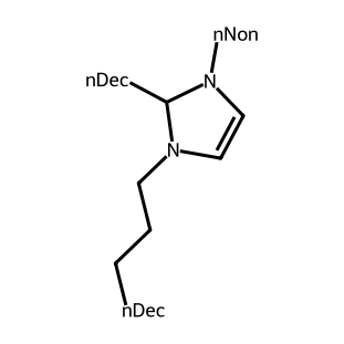 CCCCCCCCCCCCCN1C=CN(CCCCCCCCC)C1CCCCCCCCCC